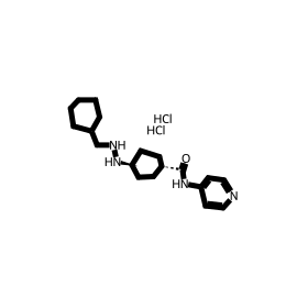 Cl.Cl.O=C(Nc1ccncc1)[C@H]1CC[C@H](NNCC2CCCCC2)CC1